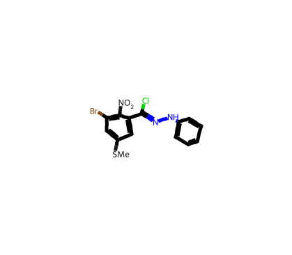 CSc1cc(Br)c([N+](=O)[O-])c(C(Cl)=NNc2ccccc2)c1